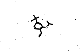 C=Cc1ccc(C(C)(C)C)cc1OC(C)C